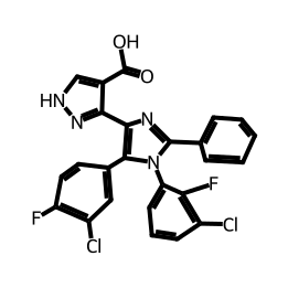 O=C(O)c1c[nH]nc1-c1nc(-c2ccccc2)n(-c2cccc(Cl)c2F)c1-c1ccc(F)c(Cl)c1